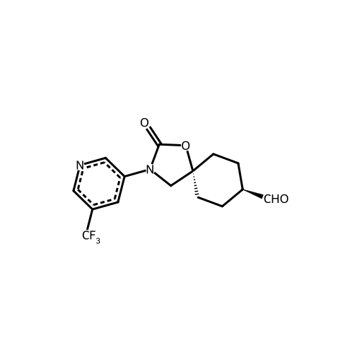 O=C[C@H]1CC[C@]2(CC1)CN(c1cncc(C(F)(F)F)c1)C(=O)O2